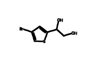 OCC(O)c1cc(Br)cs1